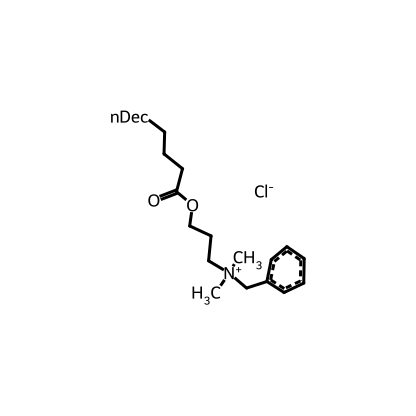 CCCCCCCCCCCCCC(=O)OCCC[N+](C)(C)Cc1ccccc1.[Cl-]